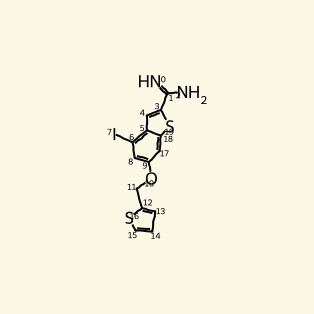 N=C(N)c1cc2c(I)cc(OCc3cccs3)cc2s1